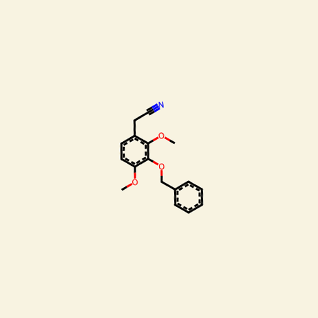 COc1ccc(CC#N)c(OC)c1OCc1ccccc1